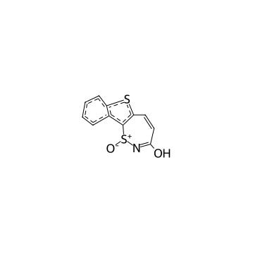 [O-][S+]1N=C(O)C=Cc2sc3ccccc3c21